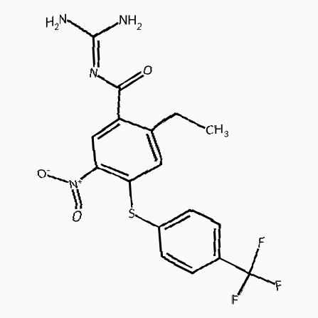 CCc1cc(Sc2ccc(C(F)(F)F)cc2)c([N+](=O)[O-])cc1C(=O)N=C(N)N